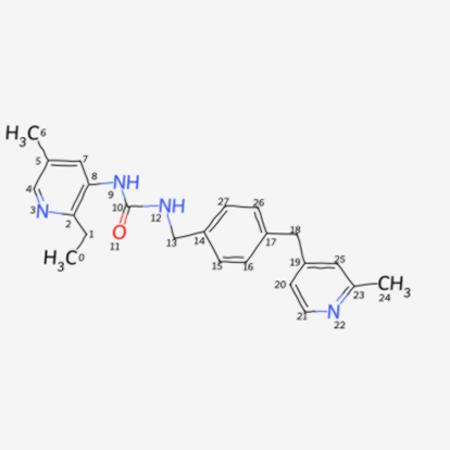 CCc1ncc(C)cc1NC(=O)NCc1ccc(Cc2ccnc(C)c2)cc1